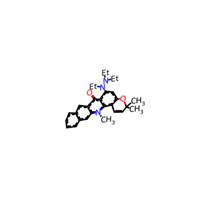 CCN(CC)N(CC)c1cc2c(c3c1c(=O)c1cc4ccccc4cc1n3C)C=CC(C)(C)O2